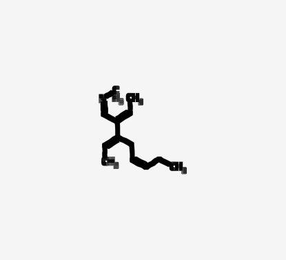 C/C=C(\C=N/C)C(=C/C)/C/C=C\CC